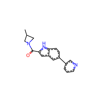 CC1CN(C(=O)c2cc3cc(-c4cccnc4)ccc3[nH]2)C1